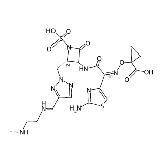 CNCCNCc1cnn(C[C@H]2C(NC(=O)/C(=N\OC3(C(=O)O)CC3)c3csc(N)n3)C(=O)N2S(=O)(=O)O)n1